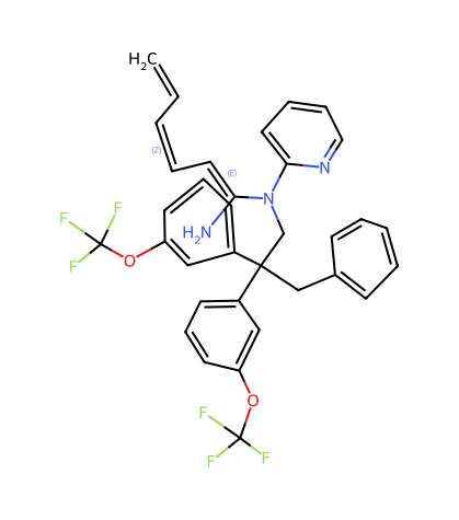 C=C/C=C\C=C(/N)N(CC(Cc1ccccc1)(c1cccc(OC(F)(F)F)c1)c1cccc(OC(F)(F)F)c1)c1ccccn1